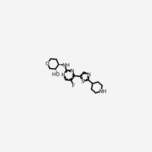 O[C@@H]1COCC[C@H]1Nc1ncc(F)c(-c2cnc(C3CCNCC3)s2)n1